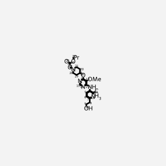 COc1c(Nc2ccc(CCO)nc2C)ncnc1OC1CCN(OC(=O)OC(C)C)CC1